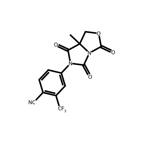 CC12COC(=O)N1C(=O)N(c1ccc(C#N)c(C(F)(F)F)c1)C2=O